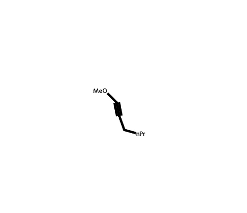 [CH2]CCCC#COC